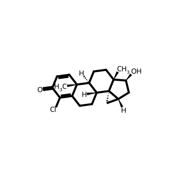 C[C@]12C=CC(=O)C(Cl)=C1CC[C@@H]1[C@@H]2CC[C@]2(C)[C@@H](O)C[C@@H]3C[C@]312